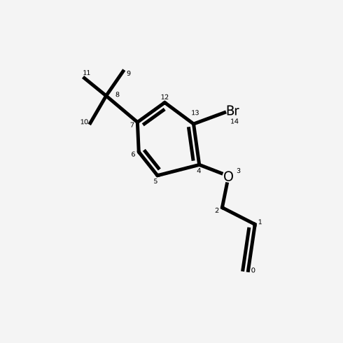 C=CCOc1ccc(C(C)(C)C)cc1Br